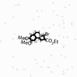 CCOC(=O)c1cc2n(c1Br)CCc1cc(OC)c(OC)cc1-2